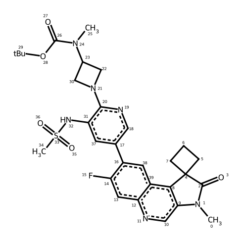 CN1C(=O)C2(CCC2)c2c1cnc1cc(F)c(-c3cnc(N4CC(N(C)C(=O)OC(C)(C)C)C4)c(NS(C)(=O)=O)c3)cc21